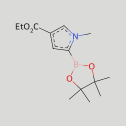 CCOC(=O)c1cc(B2OC(C)(C)C(C)(C)O2)n(C)c1